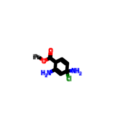 CC(C)OC(=O)C1C=CC(N)(Cl)C=C1N